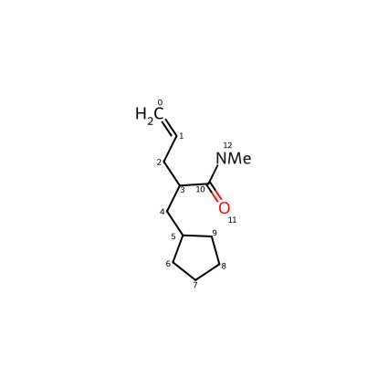 C=CCC(CC1CCCC1)C(=O)NC